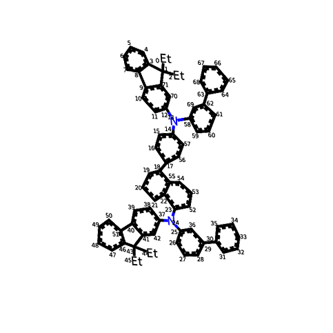 CCC1(CC)c2ccccc2-c2ccc(N(c3ccc(-c4cccc5c(N(c6cccc(-c7ccccc7)c6)c6ccc7c(c6)C(CC)(CC)c6ccccc6-7)cccc45)cc3)c3cccc(-c4ccccc4)c3)cc21